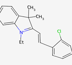 CC[N+]1=C(C=Cc2ccccc2Cl)C(C)(C)c2ccccc21